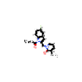 COC(=O)n1c(Cn2cccc([N+](=O)[O-])c2=O)cc2cc(F)ccc21